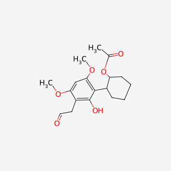 COc1cc(OC)c(C2CCCCC2OC(C)=O)c(O)c1CC=O